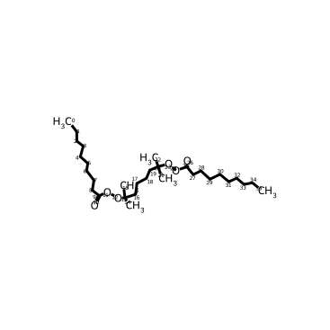 CCCCCCCCCC(=O)OOC(C)(C)CCCCC(C)(C)OOC(=O)CCCCCCCCC